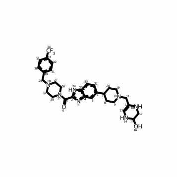 O=C(c1nc2cc(C3CCN(CC4=CNC(O)CN4)CC3)ccc2[nH]1)N1CCN(Cc2ccc(C(F)(F)F)cc2)CC1